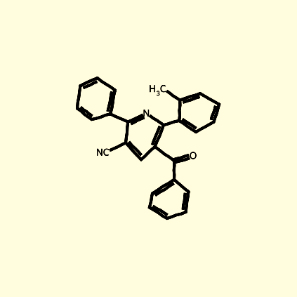 Cc1ccccc1-c1nc(-c2ccccc2)c(C#N)cc1C(=O)c1ccccc1